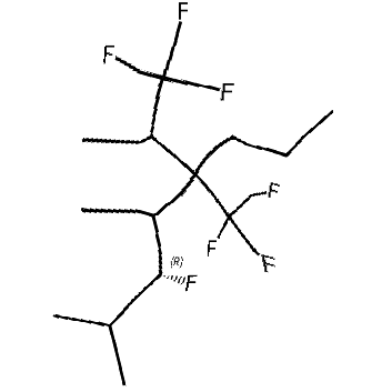 CCCC(C(C)[C@H](F)C(C)C)(C(C)C(F)(F)F)C(F)(F)F